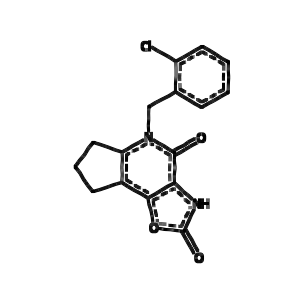 O=c1[nH]c2c(=O)n(Cc3ccccc3Cl)c3c(c2o1)CCC3